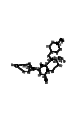 CC(=O)N1CCC(CN2c3nc(N4CC5CC4CO5)cc(=O)n3CC[C@H]2C(F)(F)F)CC1